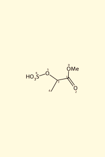 COC(=O)C(C)OS(=O)(=O)O